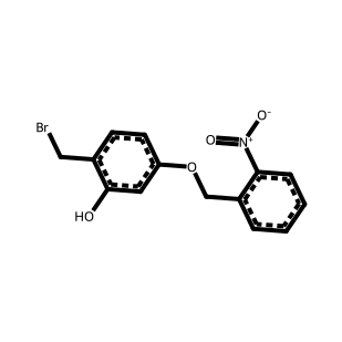 O=[N+]([O-])c1ccccc1COc1ccc(CBr)c(O)c1